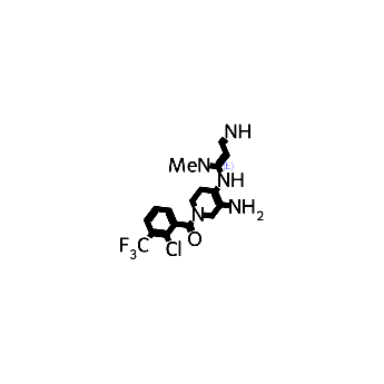 CN/C(=C\C=N)NC1=C(N)CN(C(=O)c2cccc(C(F)(F)F)c2Cl)CC1